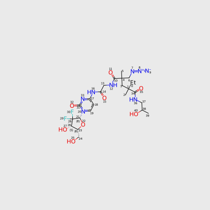 CCC(C)(CC(C)(CN=[N+]=[N-])C(=O)NCC(=O)Nc1ccn([C@@H]2O[C@H](CO)[C@H](O)C2(F)F)c(=O)n1)C(=O)NCC(C)O